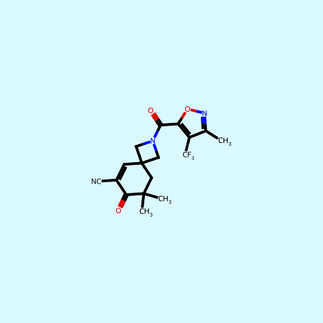 Cc1noc(C(=O)N2CC3(C=C(C#N)C(=O)C(C)(C)C3)C2)c1C(F)(F)F